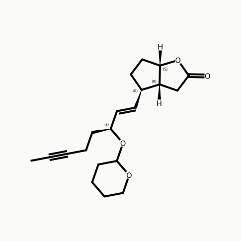 CC#CCC[C@@H](C=C[C@H]1CC[C@@H]2OC(=O)C[C@@H]21)OC1CCCCO1